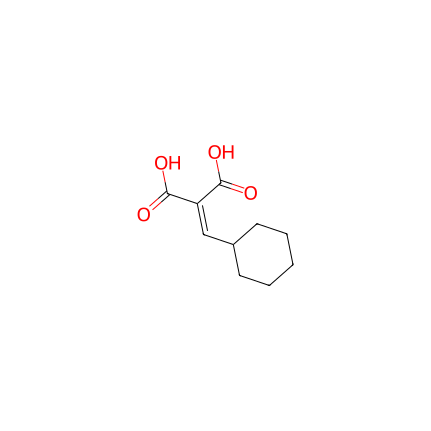 O=C(O)C(=CC1CCCCC1)C(=O)O